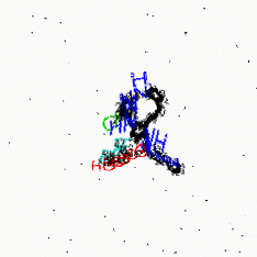 O=C(Nc1ccc2cc1CCc1cccc(c1)Nc1ncc(Cl)c(n1)N2)N1CCN(c2ccccn2)CC1.O=C(O)C(F)(F)F.O=C(O)C(F)(F)F